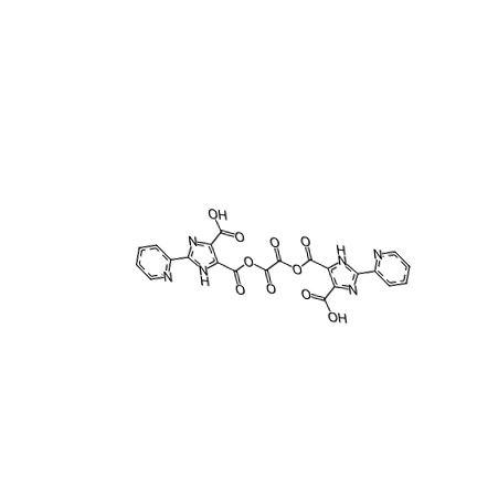 O=C(OC(=O)c1[nH]c(-c2ccccn2)nc1C(=O)O)C(=O)OC(=O)c1[nH]c(-c2ccccn2)nc1C(=O)O